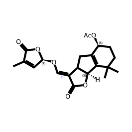 CC(=O)O[C@H]1CCC(C)(C)C2=C1CC1/C(=C\O[C@H]3C=C(C)C(=O)O3)C(=O)O[C@H]21